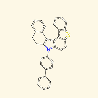 c1ccc(-c2ccc(-n3c4c(c5c6c(ccc53)sc3ccccc36)-c3ccccc3CC4)cc2)cc1